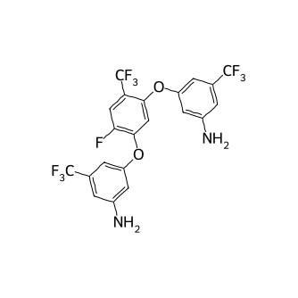 Nc1cc(Oc2cc(Oc3cc(N)cc(C(F)(F)F)c3)c(C(F)(F)F)cc2F)cc(C(F)(F)F)c1